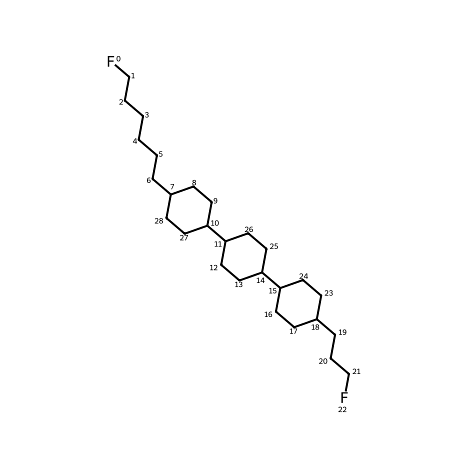 FCCCCCCC1CCC(C2CCC(C3CCC(CCCF)CC3)CC2)CC1